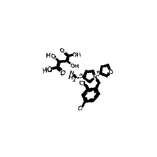 NC[C@@H]1CC[N+](Cc2ccc(Cl)cc2Cl)([C@@H]2CCOC2)C1.O=C(O)C(O)C(O)C(=O)O